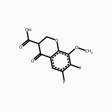 COc1c(F)c(F)cc2c1OCC(C(=O)O)C2=O